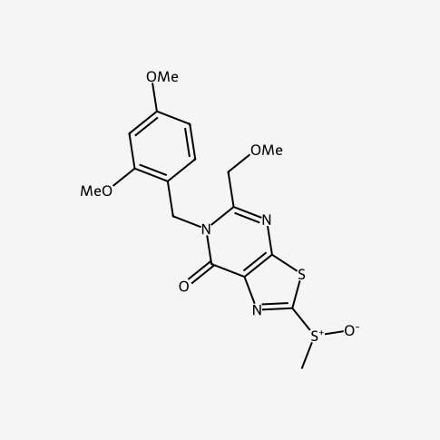 COCc1nc2sc([S+](C)[O-])nc2c(=O)n1Cc1ccc(OC)cc1OC